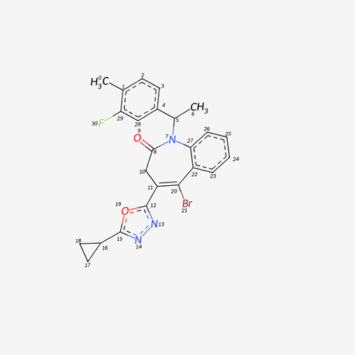 Cc1ccc(C(C)N2C(=O)CC(c3nnc(C4CC4)o3)=C(Br)c3ccccc32)cc1F